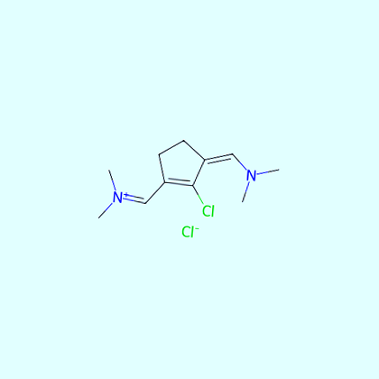 CN(C)C=C1CCC(C=[N+](C)C)=C1Cl.[Cl-]